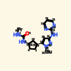 CC(C)NC(=O)N[C@H]1CC[C@@H](c2cc(Nc3ncccn3)nn2C(C)(C)C)C1